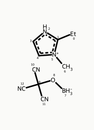 CCc1[nH]cc[n+]1C.[BH3-]OC(C#N)(C#N)C#N